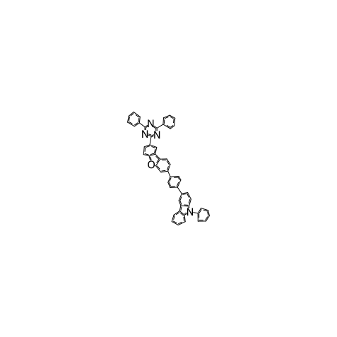 c1ccc(-c2nc(-c3ccccc3)nc(-c3ccc4oc5cc(-c6ccc(-c7ccc8c(c7)c7ccccc7n8-c7ccccc7)cc6)ccc5c4c3)n2)cc1